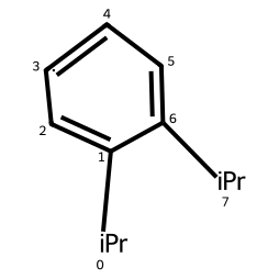 CC(C)c1c[c]ccc1C(C)C